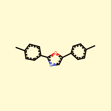 Cc1ccc(-c2cnc(-c3ccc(C)cc3)o2)cc1